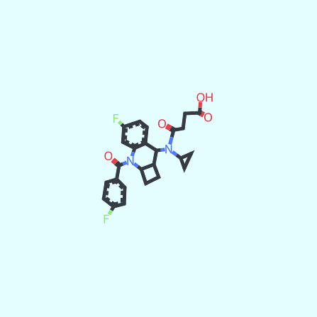 O=C(O)CCC(=O)N(C1CC1)C1c2ccc(F)cc2N(C(=O)c2ccc(F)cc2)C2CCC21